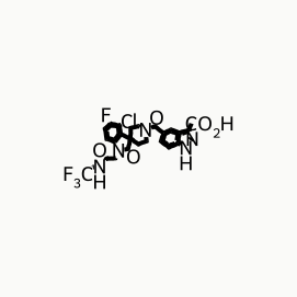 O=C(CN1C(=O)C2(CCN(C(=O)c3ccc4[nH]nc(C(=O)O)c4c3)CC2)c2c1ccc(F)c2Cl)NCC(F)(F)F